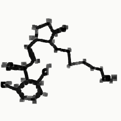 O=C(O)CCCCCCC1C(=O)CCC1C=CC(=O)c1c(Cl)cccc1Cl